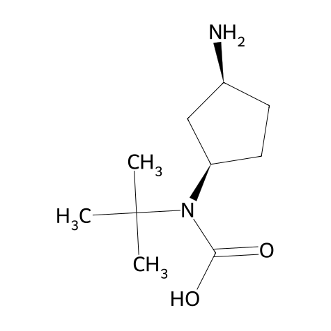 CC(C)(C)N(C(=O)O)[C@@H]1CC[C@H](N)C1